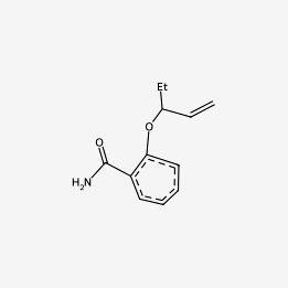 C=CC(CC)Oc1ccccc1C(N)=O